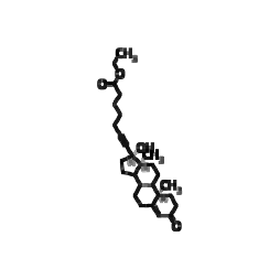 CCOC(=O)CCCCC#C[C@]1(O)CCC2C3CCC4=CC(=O)CC[C@]4(C)C3CC[C@@]21C